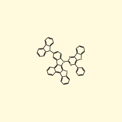 c1ccc(-c2nc(-n3c4ccc(-n5c6ccccc6c6ccccc65)cc4c4c5ccccc5c5c6ccccc6sc5c43)nc3c2sc2ccccc23)cc1